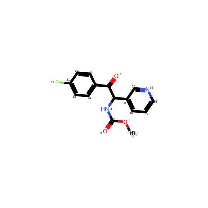 CC(C)(C)OC(=O)NC(C(=O)c1ccc(F)cc1)c1cccnc1